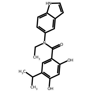 CCN(C(=O)c1cc(C(C)C)c(O)cc1O)c1ccc2[nH]ccc2c1